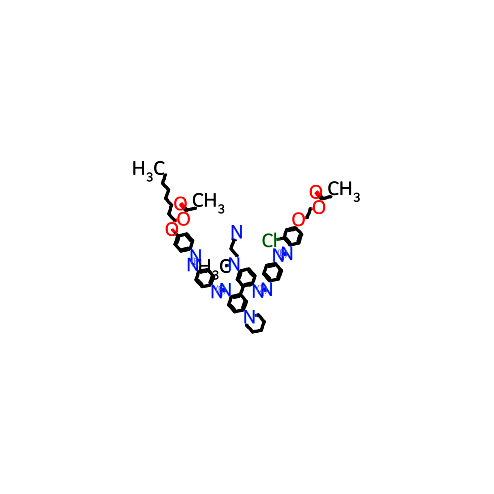 CCCCCCCC(OC(=O)CC)Oc1ccc(/N=N/c2ccc(/N=N/c3ccc(N4CCCCC4)cc3-c3cc(N(C)CCC#N)ccc3/N=N\c3ccc(/N=N/c4ccc(OCCOC(=O)CC)cc4Cl)cc3)cc2)cc1